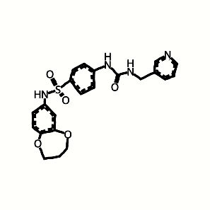 O=C(NCc1cccnc1)Nc1ccc(S(=O)(=O)Nc2ccc3c(c2)OCCCO3)cc1